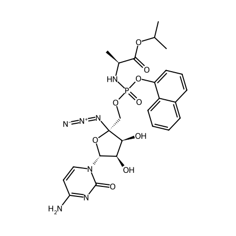 CC(C)OC(=O)[C@H](C)NP(=O)(OC[C@@]1(N=[N+]=[N-])O[C@@H](n2ccc(N)nc2=O)[C@H](O)[C@@H]1O)Oc1cccc2ccccc12